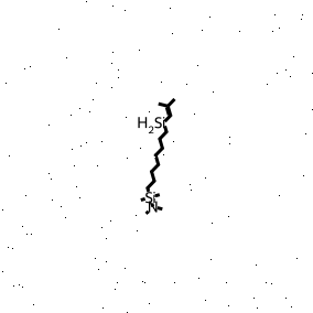 CC(C)=C[SiH2]CCCCCCCC[Si](C)(C)N(C)C